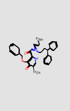 CCOC(=O)c1c[nH]c(C(=O)N(CCOC)CCC(c2ccccc2)c2ccccc2)c(OCc2ccccc2)c1=O